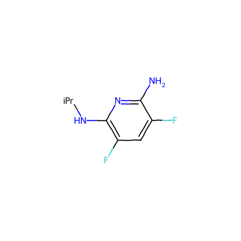 CC(C)Nc1nc(N)c(F)cc1F